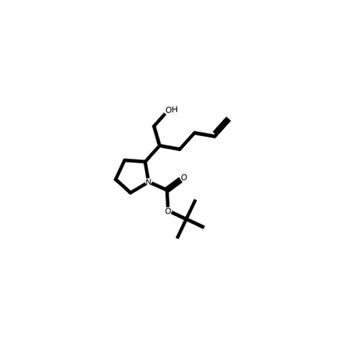 C=CCCC(CO)C1CCCN1C(=O)OC(C)(C)C